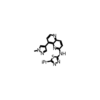 CC(C)c1nnc(Nc2ccc3nccc(-c4cnn(C)c4)c3n2)s1